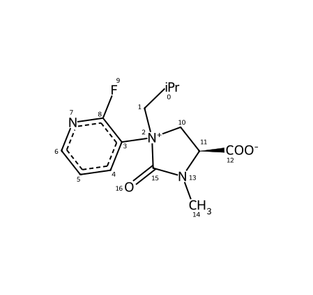 CC(C)C[N+]1(c2cccnc2F)C[C@@H](C(=O)[O-])N(C)C1=O